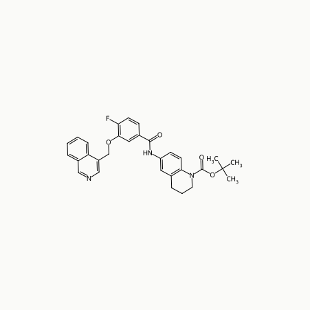 CC(C)(C)OC(=O)N1CCCc2cc(NC(=O)c3ccc(F)c(OCc4cncc5ccccc45)c3)ccc21